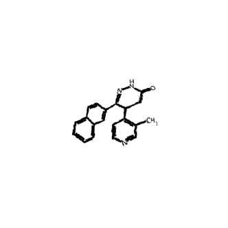 Cc1cnccc1C1CC(=O)NN=C1c1ccc2ccccc2c1